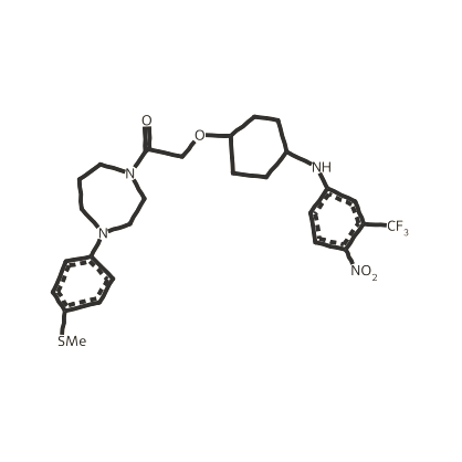 CSc1ccc(N2CCCN(C(=O)COC3CCC(Nc4ccc([N+](=O)[O-])c(C(F)(F)F)c4)CC3)CC2)cc1